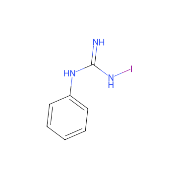 N=C(NI)Nc1ccccc1